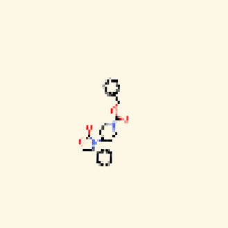 O=C(OCc1ccccc1)N1CCC(c2ccccc2)(N2CCOC2=O)CC1